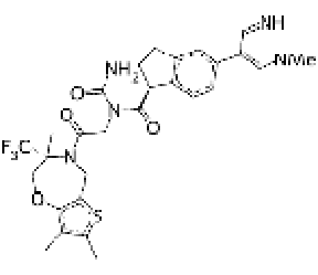 CN/C=C(\C=N)c1ccc2c(c1)CC[C@@H]2C(=O)N(CC(=O)N1Cc2sc(C)c(C)c2OC[C@]1(C)C(F)(F)F)C(N)=O